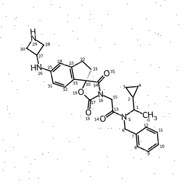 CC(C1CC1)N(Cc1ccccc1)C(=O)CN1C(=O)O[C@]2(CCc3cc(NC4CNC4)ccc32)C1=O